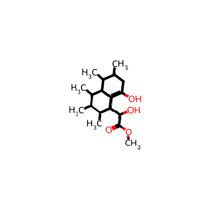 COC(=O)C(O)C1C2=C(O)CC(C)C(C)C2C(C)C(C)C1C